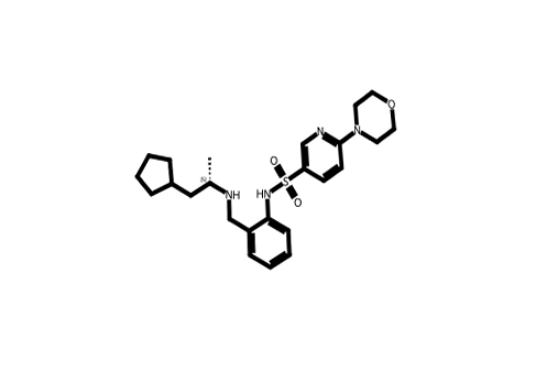 C[C@@H](CC1CCCC1)NCc1ccccc1NS(=O)(=O)c1ccc(N2CCOCC2)nc1